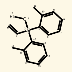 C=C[Si](OCC)(c1ccccc1C)c1ccccc1C